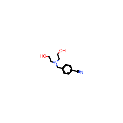 N#Cc1ccc(CN(CCO)CCO)cc1